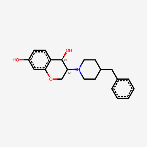 Oc1ccc2c(c1)OC[C@H](N1CCC(Cc3ccccc3)CC1)[C@@H]2O